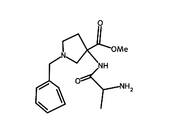 COC(=O)C1(NC(=O)C(C)N)CCN(Cc2ccccc2)C1